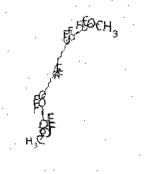 CCCOc1ccc(C#Cc2ccc(OCCCCCCCCC(CCCCCCCCOc3ccc(C#Cc4ccc(OCCC)c(F)c4F)c(F)c3F)C(F)(F)F)c(F)c2F)c(F)c1F